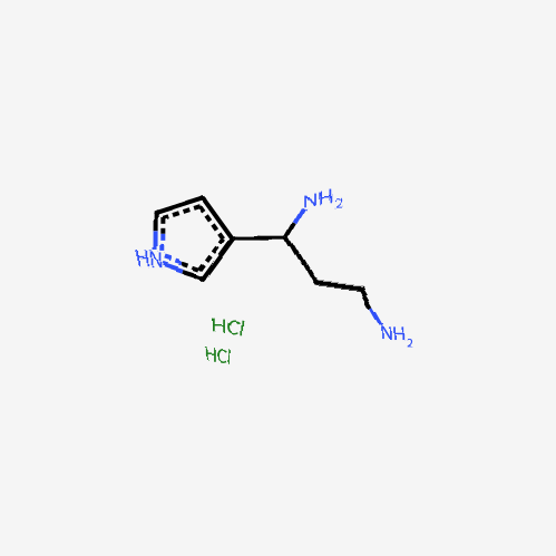 Cl.Cl.NCCC(N)c1cc[nH]c1